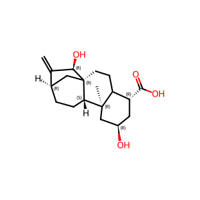 C=C1[C@@H]2CC[C@@H]3[C@@](CCC4[C@H](C(=O)O)C[C@@H](O)C[C@]43C)(C2)[C@@H]1O